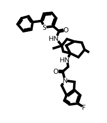 CC1CC2CC(C)(NC(=O)C3=CC=C=C(c4ccccc4)S3)CC(NCC(=O)N3Cc4ccc(F)cc4C3)(C1)C2